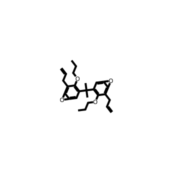 C=CCc1c2c(cc(C(C)(C)c3cc4c(c(CC=C)c3OCCC)O4)c1OCCC)O2